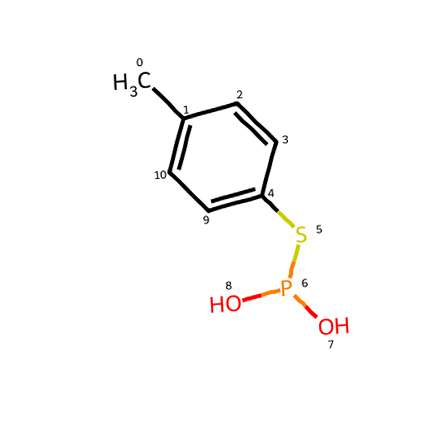 Cc1ccc(SP(O)O)cc1